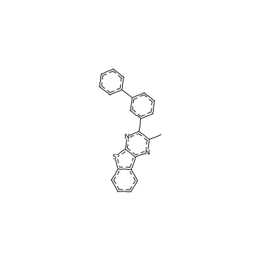 Cc1nc2c(nc1-c1cccc(-c3ccccc3)c1)sc1ccccc12